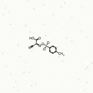 Cc1ccc(S(=O)(=O)ON=C(C#N)C(=O)O)cc1